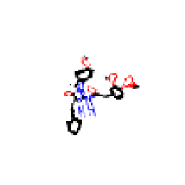 COc1cccc([C@@H](C)NC(=O)[C@@H](CC2CCCCC2)NC(=N)NC(=O)Cc2ccc(OC)c(OC)c2)c1